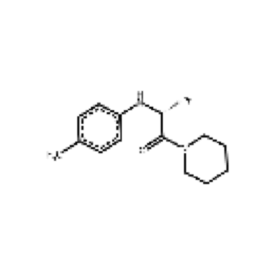 CC(C)[C@@H](Nc1ccc(C(F)(F)F)cc1)C(=O)N1CCCCC1